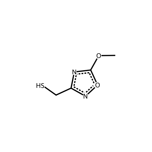 COc1nc(CS)no1